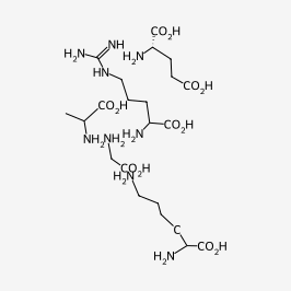 CC(N)C(=O)O.N=C(N)NCCCC(N)C(=O)O.NCC(=O)O.NCCCCC(N)C(=O)O.N[C@@H](CCC(=O)O)C(=O)O